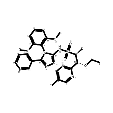 CCO[C@H](c1ncc(C)cn1)[C@H](C)S(=O)(=O)Nc1nnc(-c2cccnc2)n1-c1c(OC)cccc1OC